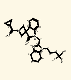 O=C(C1CC1)N1CC2(C1)C(=O)N(Cc1nc3c(n1CCCC(F)(F)F)CCCC3)c1ccccc12